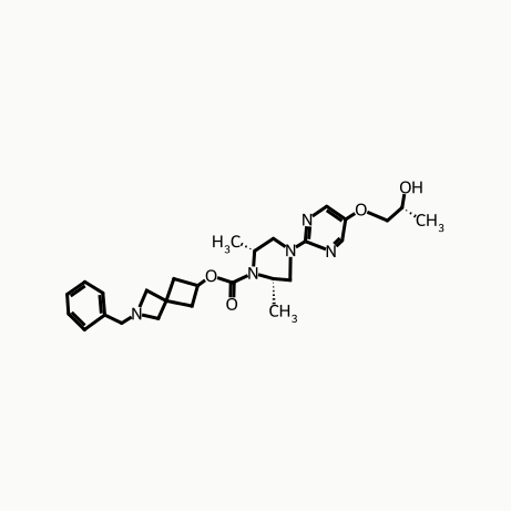 C[C@@H]1CN(c2ncc(OC[C@@H](C)O)cn2)C[C@H](C)N1C(=O)OC1CC2(C1)CN(Cc1ccccc1)C2